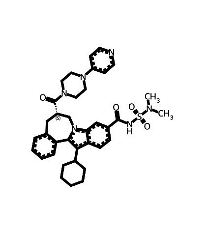 CN(C)S(=O)(=O)NC(=O)c1ccc2c(C3CCCCC3)c3n(c2c1)C[C@@H](C(=O)N1CCN(c2ccncc2)CC1)Cc1ccccc1-3